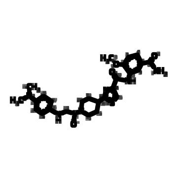 COc1ccc(C(N)=O)cc1NC(=O)c1csc(C2CCN([S+]([O-])CNc3ccc(N(C)C)cc3)CC2)n1